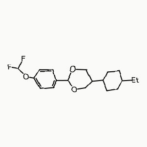 CCC1CCC(C2COC(c3ccc(OC(F)F)cc3)OC2)CC1